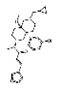 CO[C@]12CC[C@H](N(C)C(=O)/C=C/c3ccoc3)C[C@]1(c1cccc(O)c1)CCN(CC1CC1)C2